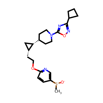 C[S+]([O-])c1ccc(OCC[C@@H]2C[C@@H]2C2CCN(c3nc(C4CCC4)no3)CC2)nc1